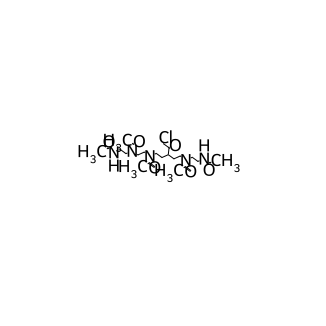 CC(=O)NCCN(CCC(CCN(CCN(CCNC(C)=O)C(C)=O)C(C)=O)C(=O)CCl)C(C)=O